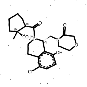 C[C@]1(C(=O)O)CCCC[C@H]1C(=O)N1CCc2c(Cl)ccc(O)c2[C@H]1CN1CCOCC1=O